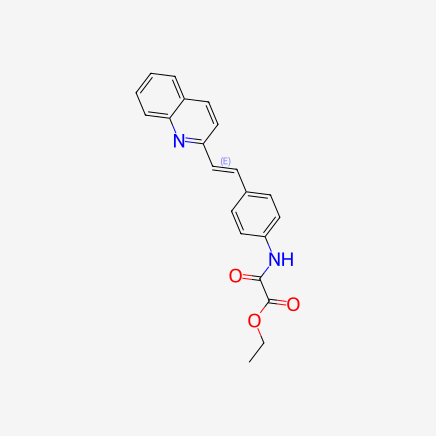 CCOC(=O)C(=O)Nc1ccc(/C=C/c2ccc3ccccc3n2)cc1